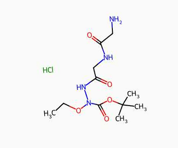 CCON(NC(=O)CNC(=O)CN)C(=O)OC(C)(C)C.Cl